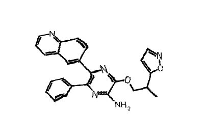 CC(COc1nc(-c2ccc3ncccc3c2)c(-c2ccccc2)nc1N)c1ccno1